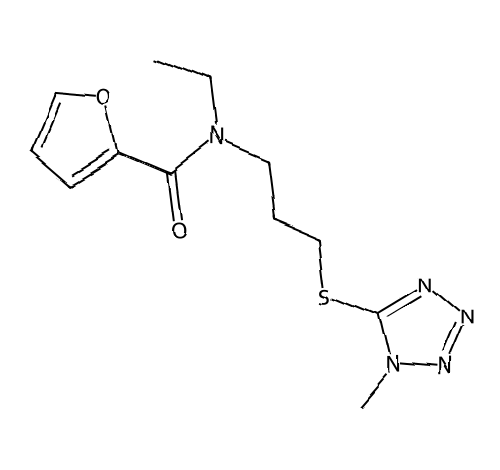 CCN(CCCSc1nnnn1C)C(=O)c1ccco1